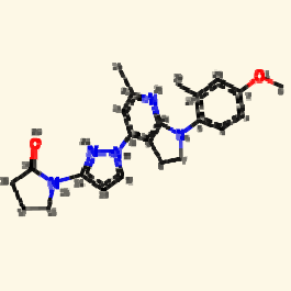 COc1ccc(N2CCc3c(-n4ccc(N5CCCC5=O)n4)cc(C)nc32)c(C)c1